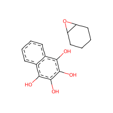 C1CCC2OC2C1.Oc1c(O)c(O)c2ccccc2c1O